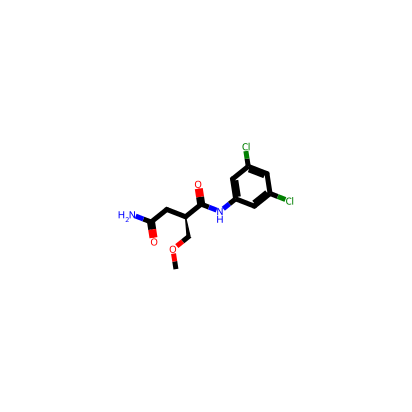 COC[C@@H](CC(N)=O)C(=O)Nc1cc(Cl)cc(Cl)c1